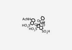 CC(=O)Nc1cccc2c(O)cc(S(=O)(=O)O)cc12.O=C(Nc1ccc(S(=O)(=O)O)c2cc(S(=O)(=O)O)cc(O)c12)c1ccccc1